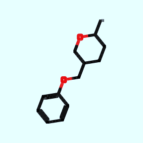 [CH2]C1CCC(COc2ccccc2)CO1